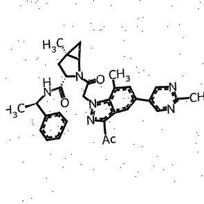 CC(=O)c1nn(CC(=O)N2C3C[C@]3(C)C[C@H]2C(=O)N[C@H](C)c2ccccc2)c2c(C)cc(-c3cnc(C)nc3)cc12